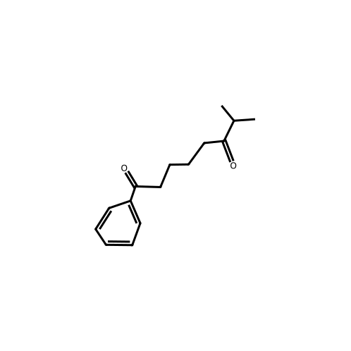 CC(C)C(=O)CCCCC(=O)c1ccccc1